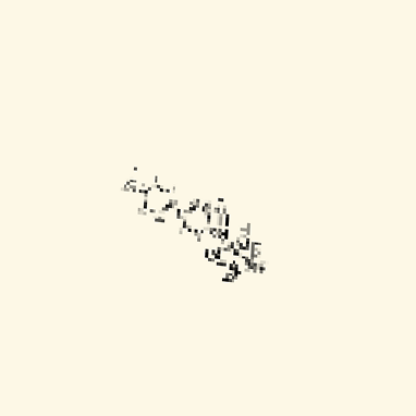 CSc1ccc(-c2ccc(NC(=O)C(O)(C(F)(F)F)C(F)(F)F)c(F)c2)cc1